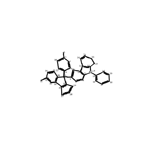 Cc1ccc(C2(c3ccc4c(c3)c3c(n4-c4ccccc4)CCC=C3)C3=C(C=C=C3)c3cc(C)ccc32)cc1